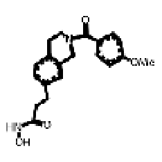 COc1ccc(C(=O)N2CCc3ccc(CCC(=O)NO)cc3C2)cc1